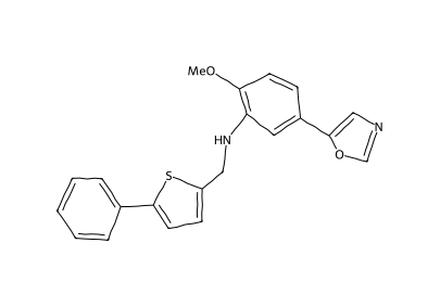 COc1ccc(-c2cnco2)cc1NCc1ccc(-c2ccccc2)s1